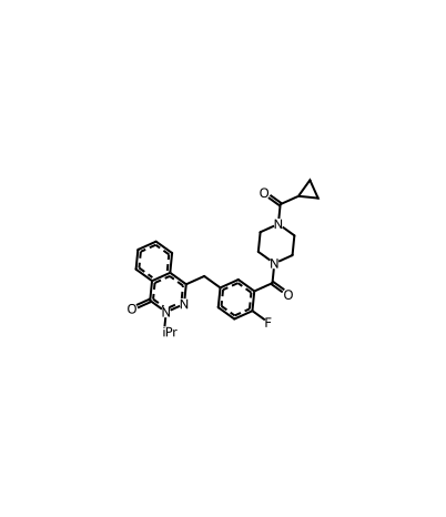 CC(C)n1nc(Cc2ccc(F)c(C(=O)N3CCN(C(=O)C4CC4)CC3)c2)c2ccccc2c1=O